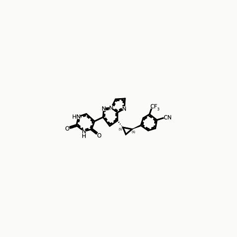 N#Cc1ccc([C@H]2C[C@@H]2c2cc(-c3c[nH]c(=O)[nH]c3=O)nn3ccnc23)cc1C(F)(F)F